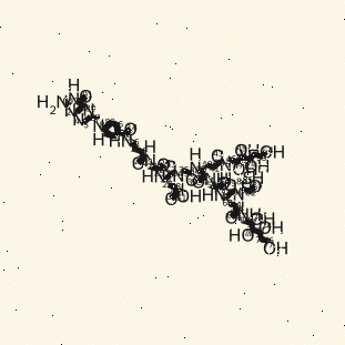 Nc1nc2ncc(CNc3ccc(C(=O)NCCCC(=O)NCC(=O)N[C@@H](CCC(=O)O)C(=O)NCC(=O)N[C@@H](CCC(=O)NC[C@H](O)[C@@H](O)[C@H](O)CCO)C(=O)NCC(=O)N[C@@H](CCC(=O)NC[C@H](O)[C@@H](O)[C@H](O)CCO)C(=O)N[C@H](C=O)CS)cc3)nc2c(=O)[nH]1